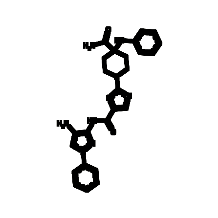 NC(=O)C1(Nc2ccccc2)CCN(c2ncc(C(=O)Nc3nn(-c4ccccc4)cc3N)s2)CC1